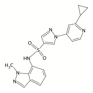 Cn1ncc2cccc(NS(=O)(=O)c3cnn(-c4ccnc(C5CC5)c4)c3)c21